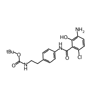 CC(C)(C)OC(=O)NCCc1ccc(NC(=O)c2c(Cl)ccc(N)c2O)cc1